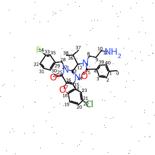 Cc1ccc(C(=O)N(CCCN)C(c2nc3c(oc4ccc(Cl)cc43)c(=O)n2Cc2cccc(F)c2)C(C)C)cc1